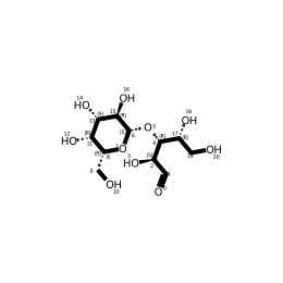 O=C[C@@H](O)[C@H](O[C@@H]1O[C@H](CO)[C@H](O)[C@H](O)[C@H]1O)[C@H](O)CO